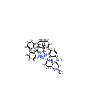 CCc1cc(N(C)c2ccc(-c3ccccc3-c3nnnn3C(c3ccccc3)(c3ccccc3)c3ccccc3)cc2)c2ncccc2n1